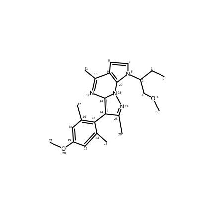 CCC(COC)n1ccc2c(C)nc3c(-c4c(C)cc(OC)cc4C)c(C)nn3c21